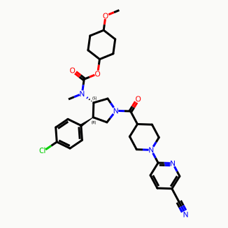 COC1CCC(OC(=O)N(C)[C@@H]2CN(C(=O)C3CCN(c4ccc(C#N)cn4)CC3)C[C@H]2c2ccc(Cl)cc2)CC1